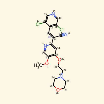 COc1cnc(/C(C#N)=C/c2c(Cl)cncc2Cl)cc1OCCN1CCOCC1